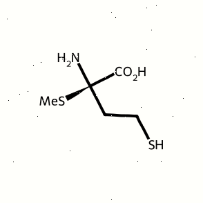 CS[C@](N)(CCS)C(=O)O